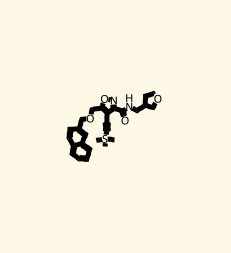 CS(C)(C)C#Cc1c(C(=O)NCC2CCOC2)noc1COCc1ccc2ccccc2c1